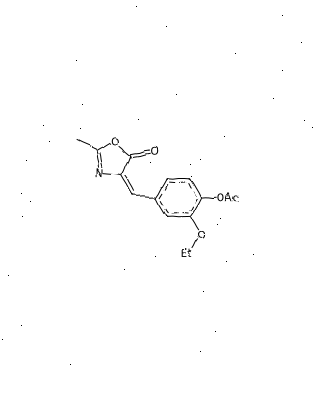 CCOc1cc(C=C2N=C(C)OC2=O)ccc1OC(C)=O